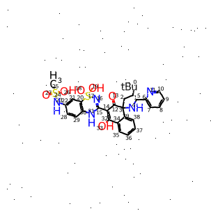 CC(C)(C)CCC1(NCc2ccccn2)C(=O)C(C2=NS(O)(O)c3cc(NS(C)(=O)=O)ccc3N2)=C(O)c2ccccc21